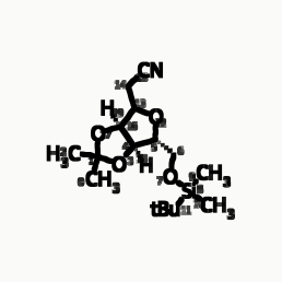 CC1(C)O[C@@H]2[C@@H](CO[Si](C)(C)C(C)(C)C)OC(CC#N)[C@@H]2O1